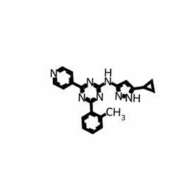 Cc1ccccc1-c1nc(Nc2cc(C3CC3)[nH]n2)nc(-c2ccncc2)n1